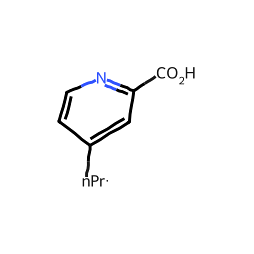 CC[CH]c1ccnc(C(=O)O)c1